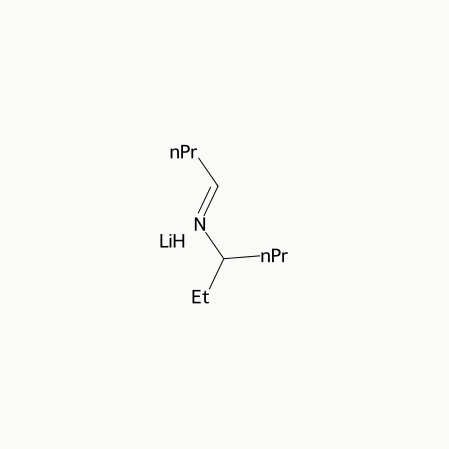 [CH2]CCC=NC(CC)CCC.[LiH]